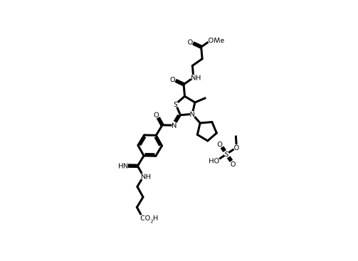 COC(=O)CCNC(=O)C1SC(=NC(=O)c2ccc(C(=N)NCCCC(=O)O)cc2)N(C2CCCC2)C1C.COS(=O)(=O)O